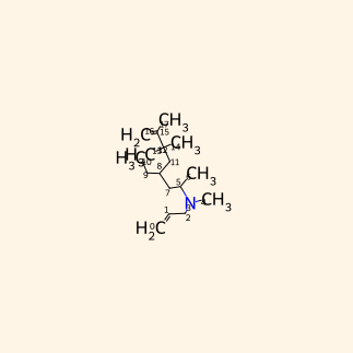 C=CCN(C)C(C)CC(CC)CC(C)(C)C(=C)C